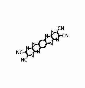 N#Cc1nc2nc3cc4nc5nc(C#N)c(C#N)nc5nc4cc3nc2nc1C#N